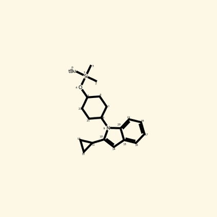 CC(C)(C)[Si](C)(C)OC1CCC(n2c(C3CC3)cc3ccccc32)CC1